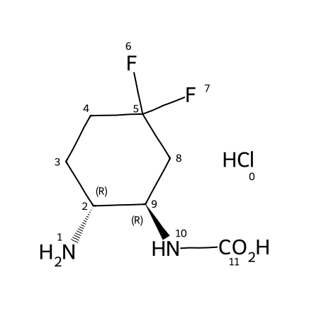 Cl.N[C@@H]1CCC(F)(F)C[C@H]1NC(=O)O